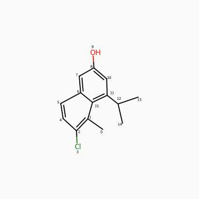 Cc1c(Cl)ccc2cc(O)cc(C(C)C)c12